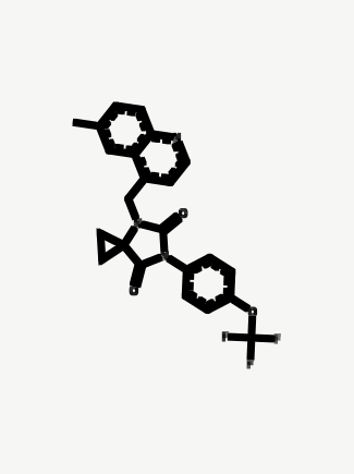 Cc1ccc2nccc(CN3C(=O)N(c4ccc(OC(F)(F)F)cc4)C(=O)C34CC4)c2c1